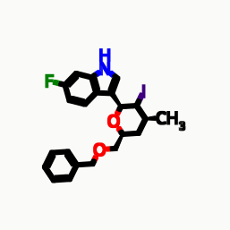 C[C@H]1C[C@@H](COCc2ccccc2)O[C@@H](c2c[nH]c3cc(F)ccc23)C1I